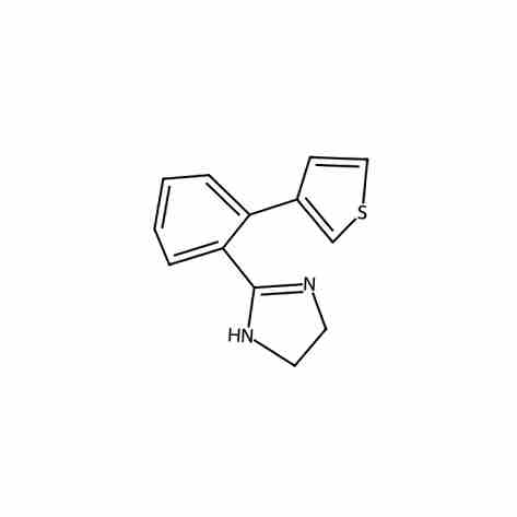 c1ccc(-c2ccsc2)c(C2=NCCN2)c1